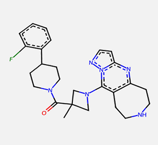 CC1(C(=O)N2CCC(c3ccccc3F)CC2)CN(c2c3c(nc4ccnn24)CCNCC3)C1